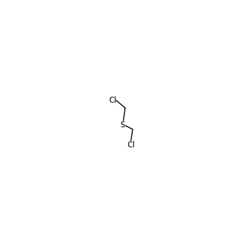 ClCSCCl